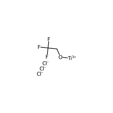 FC(F)(F)C[O][Ti+3].[Cl-].[Cl-].[Cl-]